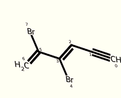 C#CC=C(Br)C(=C)Br